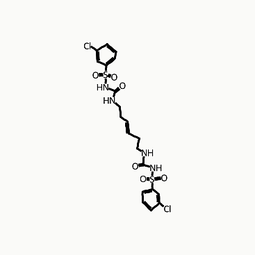 O=C(NCC/C=C/CCNC(=O)NS(=O)(=O)c1cccc(Cl)c1)NS(=O)(=O)c1cccc(Cl)c1